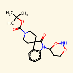 CC(C)(C)OC(=O)N1CCC2(CC1)C(=O)N(C1CCONO1)c1ccccc12